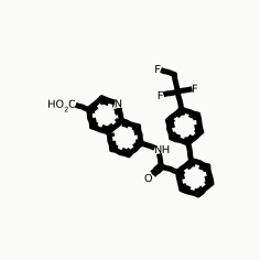 O=C(O)c1cnc2cc(NC(=O)c3ccccc3-c3ccc(C(F)(F)CF)cc3)ccc2c1